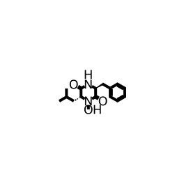 CC(C)C[C@@H]1C(=O)N[C@@H](Cc2ccccc2)C(=O)N1O